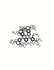 C=Cc1cc(C(C)(C)C)ccc1N1C2=C(B3c4cc5c(cc4N(c4ccc6c(c4)C(C)(C)CCC6(C)C)c4cc(C)cc1c43)C(C)(C)CCC5(C)C)c1cc3c(cc1C2)C(C)(C)CCC3(C)C